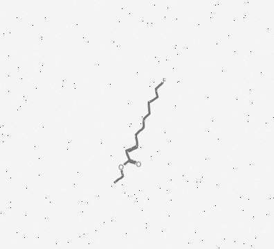 CCOC(=O)/C=C/CCCCCCCF